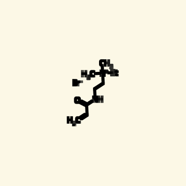 C=CC(=O)NCC[N+](C)(C)CC.[Br-]